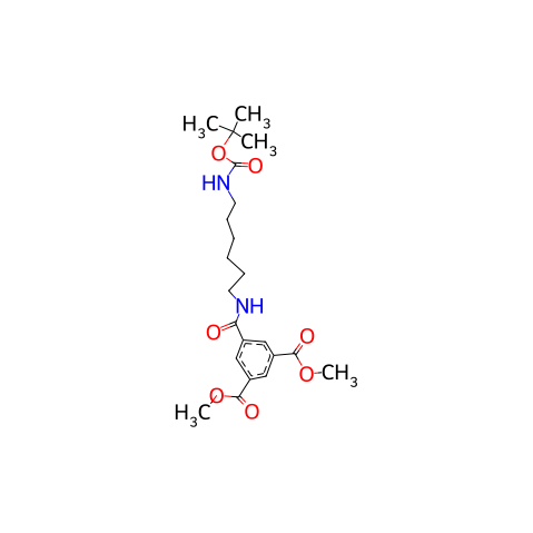 COC(=O)c1cc(C(=O)NCCCCCCNC(=O)OC(C)(C)C)cc(C(=O)OC)c1